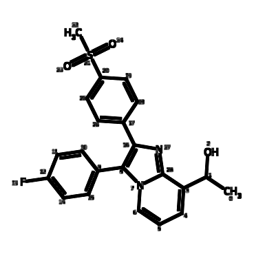 CC(O)c1cccn2c(-c3ccc(F)cc3)c(-c3ccc(S(C)(=O)=O)cc3)nc12